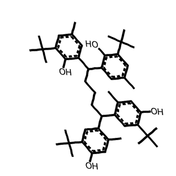 Cc1cc(C(CCCC(c2cc(C(C)(C)C)c(O)cc2C)c2cc(C(C)(C)C)c(O)cc2C)c2cc(C)cc(C(C)(C)C)c2O)c(O)c(C(C)(C)C)c1